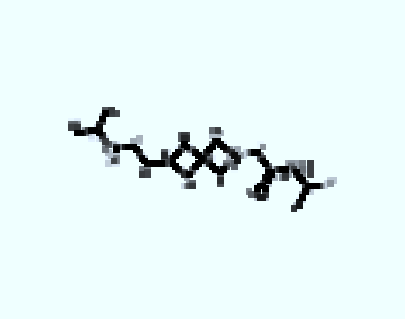 CC(C)NC(=O)CN1CC2(CC(CCOC(C)C)C2)C1